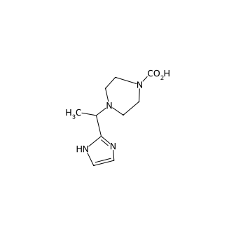 CC(c1ncc[nH]1)N1CCN(C(=O)O)CC1